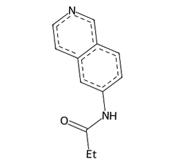 CCC(=O)Nc1ccc2cnccc2c1